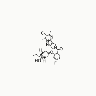 CCCN1[C@H]2C[C@H](Oc3cc(F)ccc3C(=O)N3Cc4nn5c(C)c(Cl)c(C)nc5c4C3)C[C@@H]1[C@@H](O)C2